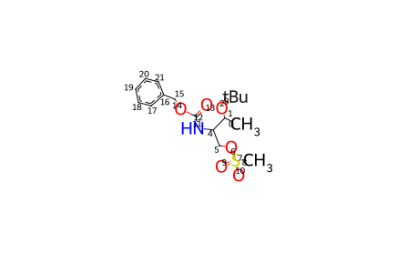 CC(OC(C)(C)C)C(COS(C)(=O)=O)NC(=O)OCc1ccccc1